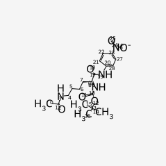 CC(=O)NCCCC[C@H](NC(=O)OC(C)(C)C)C(=O)Nc1ccc([N+](=O)[O-])cc1